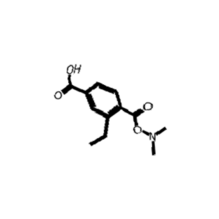 CCc1cc(C(=O)O)ccc1C(=O)ON(C)C